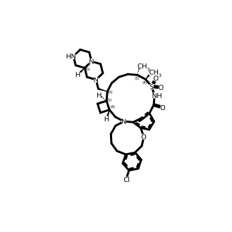 C[C@@H]1[C@@H](C)CCC[C@H](CN2CCN3CCNC[C@H]3C2)[C@@H]2CC[C@H]2CN2CCCCc3cc(Cl)ccc3COc3ccc(cc32)C(=O)NS1(=O)=O